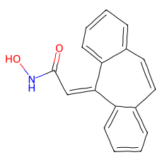 O=C(C=C1c2ccccc2C=Cc2ccccc21)NO